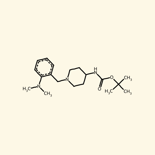 CN(C)c1ccccc1CN1CCC(NC(=O)OC(C)(C)C)CC1